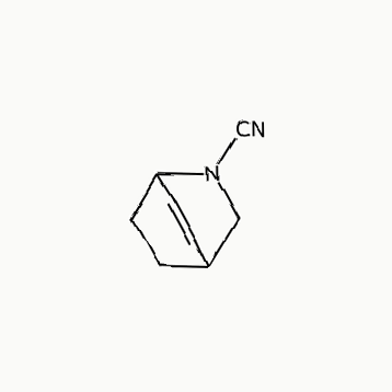 N#CN1CC2C=CC1CC2